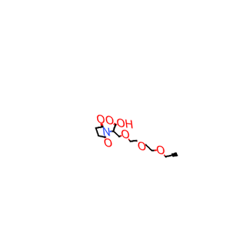 C#CCOCCOCCOCC(C(=O)O)N1C(=O)CCC1=O